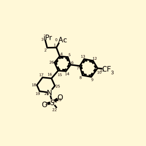 CC(=O)C(CC(C)C)c1cc(-c2ccc(C(F)(F)F)cc2)cc(C2CCCN(S(C)(=O)=O)C2)c1